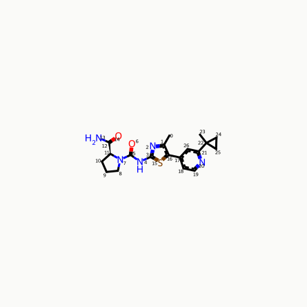 Cc1nc(NC(=O)N2CCC[C@H]2C(N)=O)sc1-c1ccnc(C2(C)CC2)c1